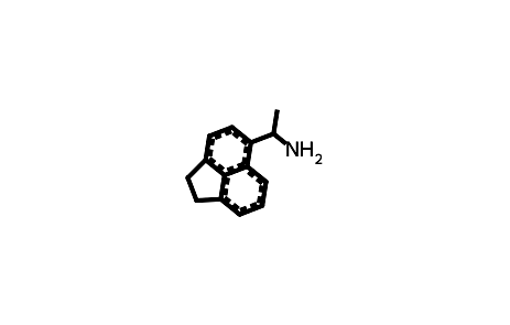 CC(N)c1ccc2c3c(cccc13)CC2